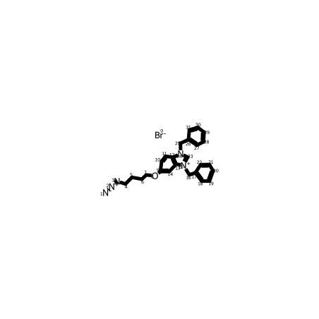 [Br-].[N-]=[N+]=NCCCCOc1ccc2c(c1)[n+](Cc1ccccc1)cn2Cc1ccccc1